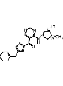 CC[C@H]1C[C@@H](Nc2ncncc2C(=O)c2cc(CC3=CCCCC3)cs2)C[C@@H]1C